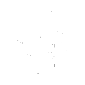 CCCCC(C)CC(CC(=O)OC(C)(C)C)C(=O)N1C(=O)O[C@@H](c2ccccc2)[C@H]1C